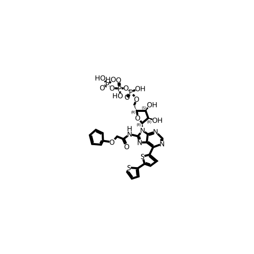 O=C(COc1ccccc1)Nc1nc2c(-c3ccc(-c4cccs4)s3)ncnc2n1[C@@H]1O[C@H](COP(=O)(O)OP(=O)(O)OP(=O)(O)O)[C@@H](O)[C@H]1O